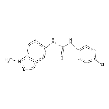 Cn1ncc2cc(NC(=O)Nc3ccc(Cl)cc3)ccc21